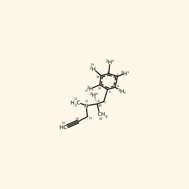 [2H]c1c([2H])c([2H])c(C[C@@]([2H])(C)N(C)CC#C)c([2H])c1[2H]